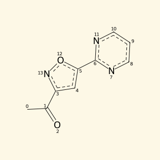 CC(=O)c1cc(-c2ncccn2)on1